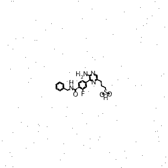 Nc1ncc(CCC[SH](=O)=O)nc1-c1ccc(C(=O)NCc2ccccc2)c(F)c1